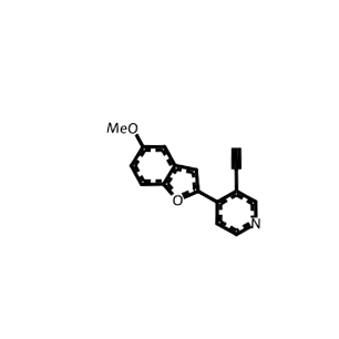 C#Cc1cnccc1-c1cc2cc(OC)ccc2o1